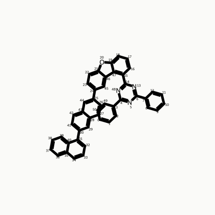 c1ccc(-c2nc(-c3ccccc3)nc(-c3cccc4oc5ccc(-c6ccc7cc(-c8cccc9ccccc89)ccc7c6)cc5c34)n2)cc1